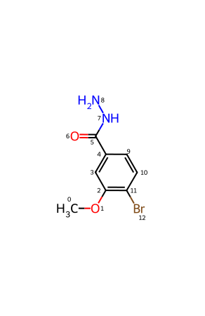 COc1cc(C(=O)NN)ccc1Br